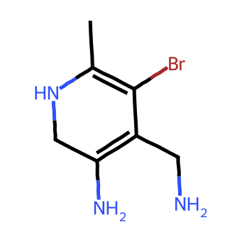 CC1=C(Br)C(CN)=C(N)CN1